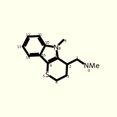 CNCC1CCSc2c1n(C)c1ccccc21